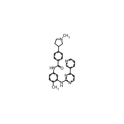 Cc1ccc(NC(=O)c2ccc(C3CCN(C)C3)cc2)cc1Nc1nccc(-c2cccnc2)n1